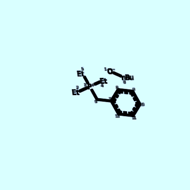 CCCC[O-].CC[P+](CC)(CC)Cc1ccccc1